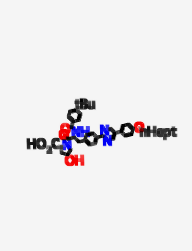 CCCCCCCOc1ccc(-c2cnc(-c3ccc(C[C@H](NC(=O)c4ccc(C(C)(C)C)cc4)C(=O)N4C[C@@H](O)C[C@@H]4C(=O)O)cc3)nc2)cc1